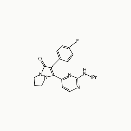 CC(C)Nc1nccc(-c2c(-c3ccc(F)cc3)c(=O)n3n2CCC3)n1